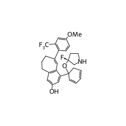 COc1ccc(C2=Cc3c(cc(O)cc3C3(O[C@]4(F)CCNC4)C=CC=CC3)CCC2)c(C(F)(F)F)c1